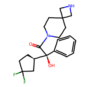 O=C(N1CCC2(CC1)CNC2)[C@](O)(c1ccccc1)[C@@H]1CCC(F)(F)C1